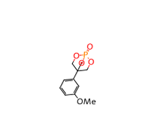 COc1cccc(C23COP(=O)(OC2)OC3)c1